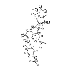 CC[C@@]1(O)C(=O)OCc2c1cc1n(c2=O)Cc2c-1nc1cc(F)c([N+](C)(C)Cc3ccc(OC(C)C)cc3)cc1c2CC(C)N(C)C